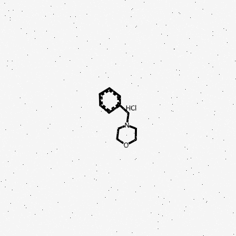 Cl.c1ccc(CN2CCOCC2)cc1